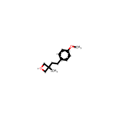 COc1ccc(CCC2(C)COC2)cc1